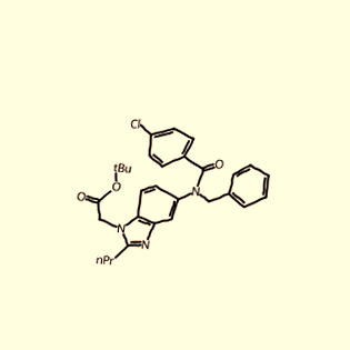 CCCc1nc2cc(N(Cc3ccccc3)C(=O)c3ccc(Cl)cc3)ccc2n1CC(=O)OC(C)(C)C